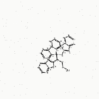 ClCCC(c1nc2ccccc2s1)C1(Cc2nc3ccccc3s2)c2ccccc2-c2ccccc21